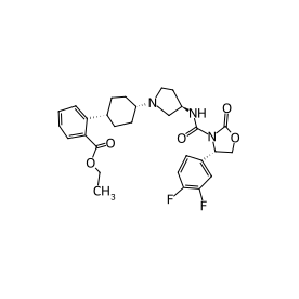 CCOC(=O)c1ccccc1[C@H]1CC[C@@H](N2CC[C@@H](NC(=O)N3C(=O)OC[C@@H]3c3ccc(F)c(F)c3)C2)CC1